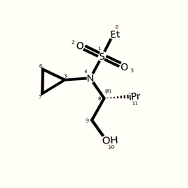 CCS(=O)(=O)N(C1CC1)[C@@H](CO)C(C)C